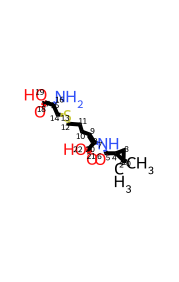 CC1(C)CC1C(=O)NC(=CCCCSCC(N)C(=O)O)C(=O)O